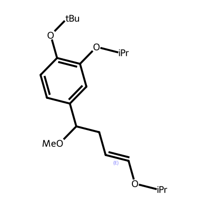 COC(C/C=C/OC(C)C)c1ccc(OC(C)(C)C)c(OC(C)C)c1